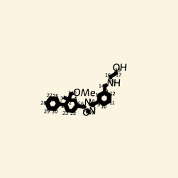 COCC1(C)CC(c2nc(-c3cccc(CNCCO)c3)no2)=CC=C1c1ccccc1